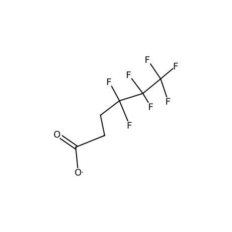 [O]C(=O)CCC(F)(F)C(F)(F)C(F)(F)F